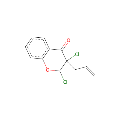 C=CCC1(Cl)C(=O)c2ccccc2OC1Cl